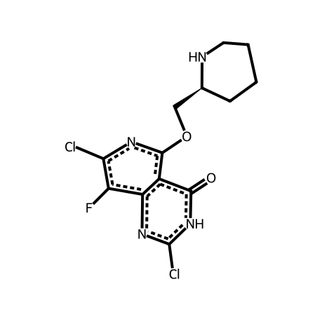 O=c1[nH]c(Cl)nc2c(F)c(Cl)nc(OC[C@@H]3CCCCN3)c12